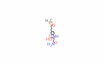 CCOC(=O)CCCc1ccc(N[C@@H](CCC(N)=O)C(=O)O)cc1